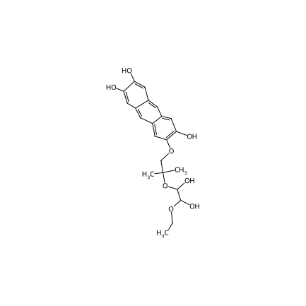 CCOC(O)C(O)OC(C)(C)COc1cc2cc3cc(O)c(O)cc3cc2cc1O